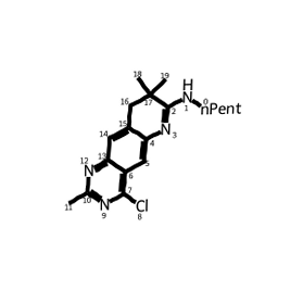 CCCCCNC1=Nc2cc3c(Cl)nc(C)nc3cc2CC1(C)C